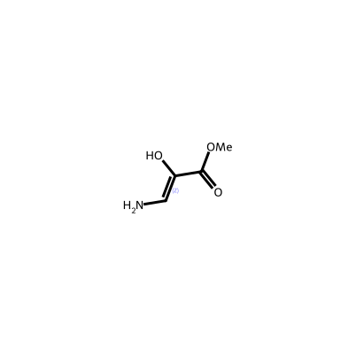 COC(=O)/C(O)=C/N